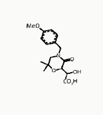 COc1ccc(CN2CC(C)(C)O[C@H]([C@@H](O)C(=O)O)C2=O)cc1